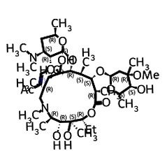 CC[C@H]1OC(=O)[C@H](C)[C@@H](O[C@H]2C[C@@](C)(OC)[C@@H](O)[C@H](C)O2)[C@H](C)[C@@H](O[C@@H]2O[C@H](C)C[C@H](N(C)C)[C@H]2O/C=C/C(C)=O)[C@@](C)(O)C[C@@H](C)CN(C)[C@H](C)[C@@H](O)[C@]1(C)O